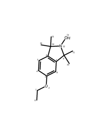 CCOc1ccc2c(c1)C(C)(C)N(O)C2(C)C